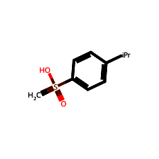 C=S(=O)(O)c1ccc(C(C)C)cc1